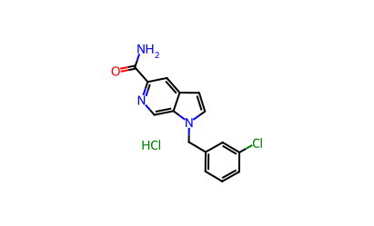 Cl.NC(=O)c1cc2ccn(Cc3cccc(Cl)c3)c2cn1